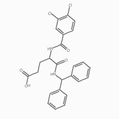 O=C(O)CCC(NC(=O)c1ccc(Cl)c(Cl)c1)C(=O)NC(c1ccccc1)c1ccccc1